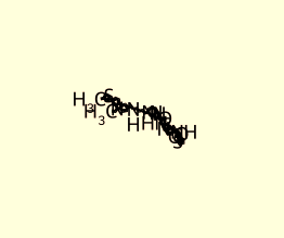 CCn1c2ccc(CNCCCCN3CCCn4nc(C(=O)Nc5nc6ccc(NS(=O)(=O)c7cccs7)cc6s5)cc4C3)cc2c2ccc(-c3cc(C)cs3)cc21